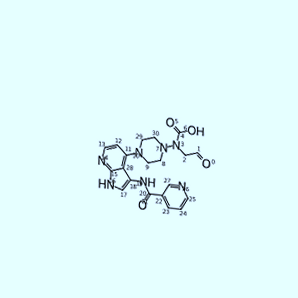 O=CCN(C(=O)O)N1CCN(c2ccnc3[nH]cc(NC(=O)c4cccnc4)c23)CC1